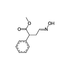 COC(=O)C(CC=NO)c1ccccc1